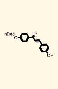 CCCCCCCCCCOc1ccc(C(=O)/C=C/c2ccc(O)cc2)cc1